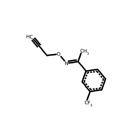 C#CCON=C(C)c1cccc(C(F)(F)F)c1